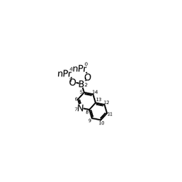 CCCOB(OCCC)c1cnc2ccccc2c1